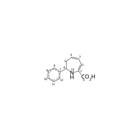 O=C(O)C1=CC=CCC(c2ccccc2)N1